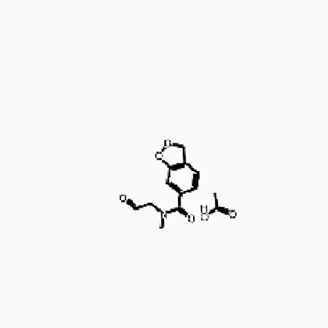 CC(=O)O.CN(CC=O)C(=O)c1ccc2c(c1)OOC2